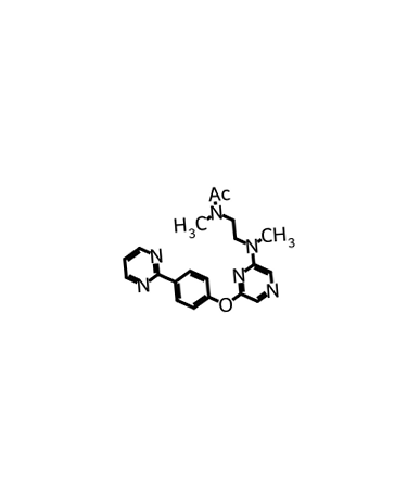 CC(=O)N(C)CCN(C)c1cncc(Oc2ccc(-c3ncccn3)cc2)n1